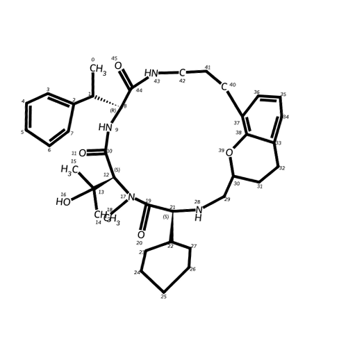 CC(c1ccccc1)[C@H]1NC(=O)[C@H](C(C)(C)O)N(C)C(=O)[C@H](C2CCCCC2)NCC2CCc3cccc(c3O2)CCCNC1=O